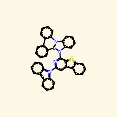 c1ccc2c(c1)B1N(c3ccccc3-2)c2ccccc2N1c1nc(-n2c3ccccc3c3ccccc32)cc2c1sc1ccccc12